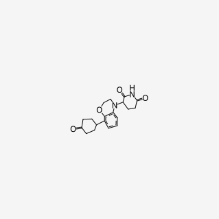 O=C1CCC(c2cccc3c2OCCN3C2CCC(=O)NC2=O)CC1